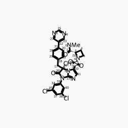 CNC(=O)[C@@H]1CCN1S(=O)(=O)c1cnc2n1[C@](C)(Cc1ccc(-c3cncnc3)cc1)C(=O)N2c1cc(Cl)cc(Cl)c1